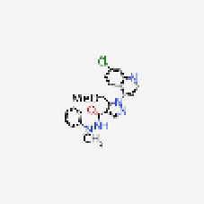 COCc1c(C(=O)NN(C)c2ccccc2)cnn1-c1ccnc2cc(Cl)ccc12